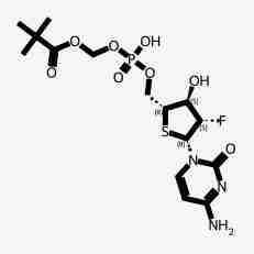 CC(C)(C)C(=O)OCOP(=O)(O)OC[C@H]1S[C@@H](n2ccc(N)nc2=O)[C@@H](F)[C@@H]1O